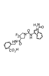 NC(=O)n1cc(NC(=O)N2CC(C(=O)NCc3ccccc3C(=O)O)[C@@H](F)C2)c2ccccc21